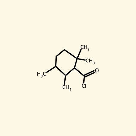 CC1CCC(C)(C)C(C(=O)Cl)C1C